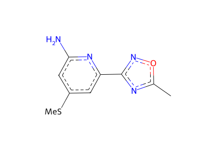 CSc1cc(N)nc(-c2noc(C)n2)c1